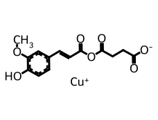 COc1cc(C=CC(=O)OC(=O)CCC(=O)[O-])ccc1O.[Cu+]